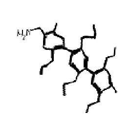 CCCc1cc(-c2cc(CCC)c(-c3cc(C)c(CN)cc3CCC)cc2CCC)c(CCC)cc1C